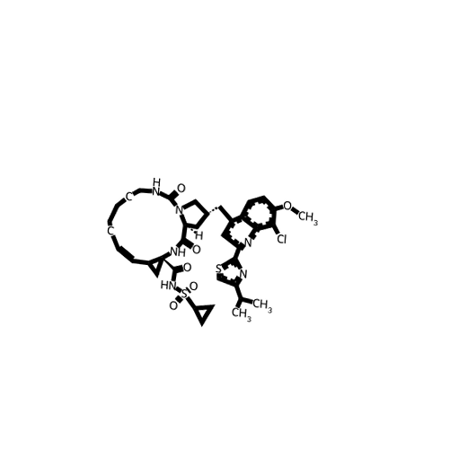 COc1ccc2c(C[C@@H]3C[C@H]4C(=O)N[C@]5(C(=O)NS(=O)(=O)C6CC6)CC5/C=C\CCCCCNC(=O)N4C3)cc(-c3nc(C(C)C)cs3)nc2c1Cl